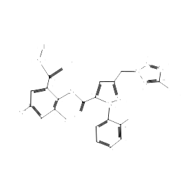 [C-]#[N+]c1cc(C)c(NC(=O)c2cc(Cn3nnc(C(F)(F)F)n3)nn2-c2ccccc2Cl)c(C(=O)NC(C)C)c1